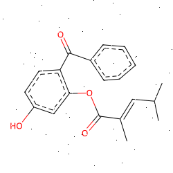 CC(=CC(C)C)C(=O)Oc1cc(O)ccc1C(=O)c1ccccc1